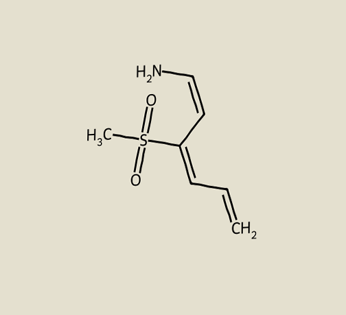 C=C/C=C(\C=C/N)S(C)(=O)=O